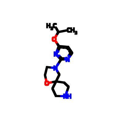 CC(C)Oc1ccnc(N2CCOC3(CCNCC3)C2)n1